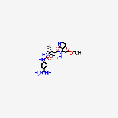 CCOC(=O)CC(NC(=O)CCC(C)(C)NC(=O)Nc1ccc(C(=N)N)cc1)c1cccnc1